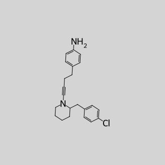 Nc1ccc(CCC#CN2CCCCC2Cc2ccc(Cl)cc2)cc1